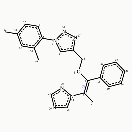 C/C(=C(/OCc1cn(-c2ccc(C)cc2C)nn1)c1ccccc1)n1cncn1